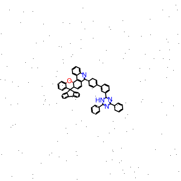 C1=CCC(C2=NC(c3cccc(C4=CCC(c5nc6ccccc6c6c5C=CC5C6Oc6ccccc6C56c5ccccc5-c5ccccc56)C=C4)c3)NC(c3ccccc3)=N2)C=C1